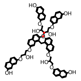 Oc1ccc2ccc(OCC(O)COc3ccc4ccc(OCC(O)COc5ccc6ccc(O)cc6c5)c(Cc5c(OCC(O)COc6ccc7ccc(O)cc7c6)ccc6ccc(OCC(O)COc7ccc8ccc(O)cc8c7)cc56)c4c3)cc2c1